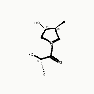 C[C@H](O)C(=O)N1C[C@H](C)[C@@H](O)C1